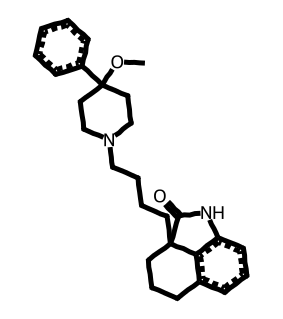 COC1(c2ccccc2)CCN(CCCCC23CCCc4cccc(c42)NC3=O)CC1